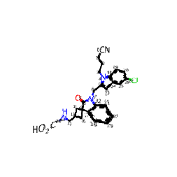 N#CCCCn1c(CN2C(=O)C3(CC(CNC(=O)O)C3)c3ccccc32)cc2cc(Cl)ccc21